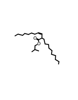 CCCCCCC/C=C\C(CCCCCCCCCC)C(=O)OCC(C)C